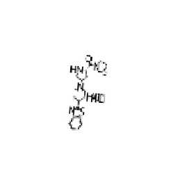 Cl.Cl.O=C([C@@H]1C[C@H](N2CCC(c3nc4ccccc4s3)CC2)CN1)N1CCSC1